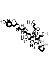 CCCC(=O)OCN(C(=O)[C@@H](NC(=O)[C@H]1CCCCN1C)[C@@H](C)CC)[C@H](C[C@@H](O)c1nc(C(=O)N[C@H](CC)Cc2ccc(O)cc2)cs1)C(C)C